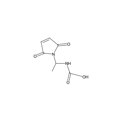 CC(NC(=O)O)N1C(=O)C=CC1=O